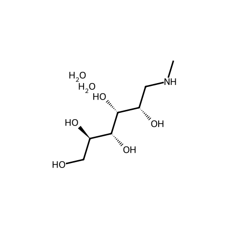 CNC[C@H](O)[C@@H](O)[C@H](O)[C@H](O)CO.O.O